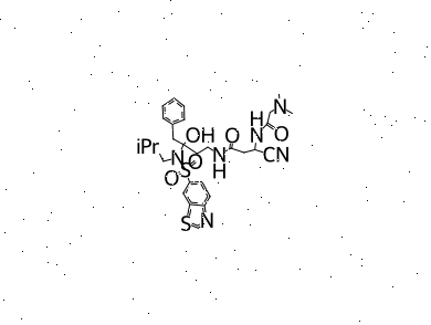 CC(C)CN(C(O)(CCNC(=O)CC(C#N)NC(=O)CN(C)C)Cc1ccccc1)S(=O)(=O)c1ccc2ncsc2c1